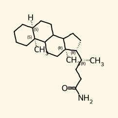 C[C@H](CCC(N)=O)[C@H]1CCC2C3CC[C@@H]4CCCC[C@]4(C)C3CC[C@@]21C